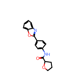 O=C(Nc1ccc(-c2nc3ccccc3o2)cc1)C1CCCO1